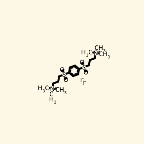 C[N+](C)(C)CCCS(=O)(=O)c1ccc(S(=O)(=O)CCC[N+](C)(C)C)cc1.[I-].[I-]